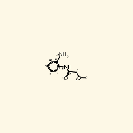 COCC(=O)Nc1ccccc1N